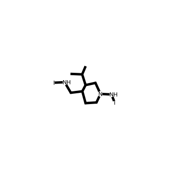 CC(C)C1CN(NI)CCC1CNI